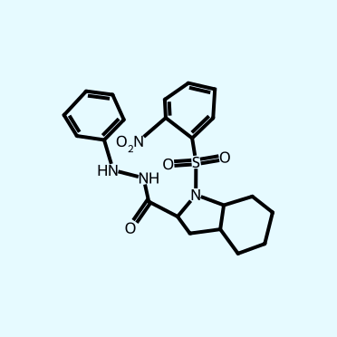 O=C(NNc1ccccc1)C1CC2CCCCC2N1S(=O)(=O)c1ccccc1[N+](=O)[O-]